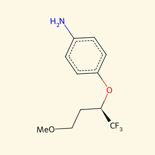 COCC[C@@H](Oc1ccc(N)cc1)C(F)(F)F